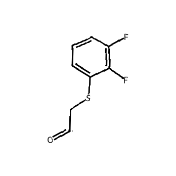 O=[C]CSc1cccc(F)c1F